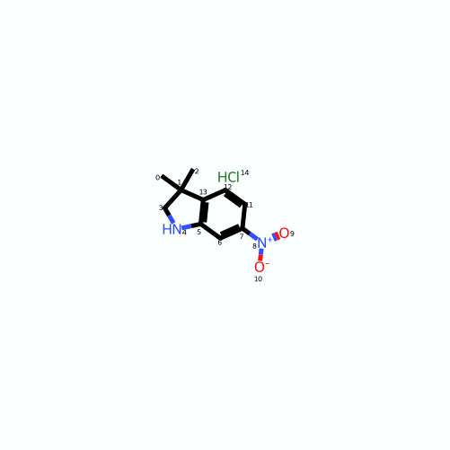 CC1(C)CNc2cc([N+](=O)[O-])ccc21.Cl